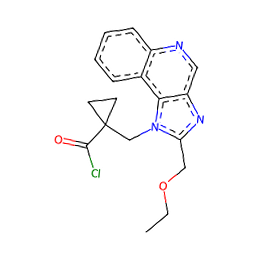 CCOCc1nc2cnc3ccccc3c2n1CC1(C(=O)Cl)CC1